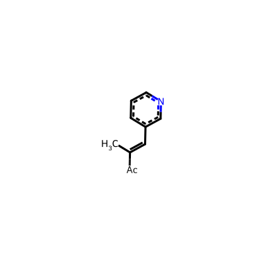 CC(=O)/C(C)=C/c1cccnc1